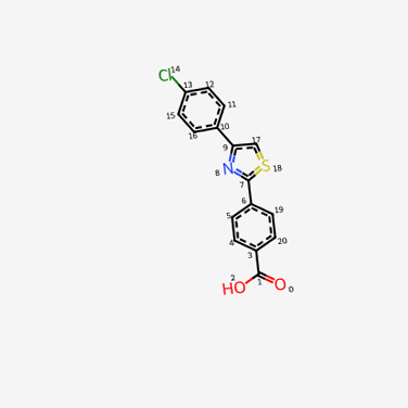 O=C(O)c1ccc(-c2nc(-c3ccc(Cl)cc3)cs2)cc1